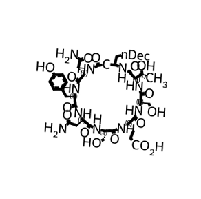 CCCCCCCCCCCC1CC(=O)N[C@@H](CC(N)=O)C(=O)N[C@H](Cc2ccc(O)cc2)C(=O)N[C@H](CC(N)=O)C(=O)N[C@@H](CO)C(=O)N[C@@H](CCC(=O)O)C(=O)N[C@H](CO)C(=O)N[C@@H]([C@@H](C)O)C(=O)N1